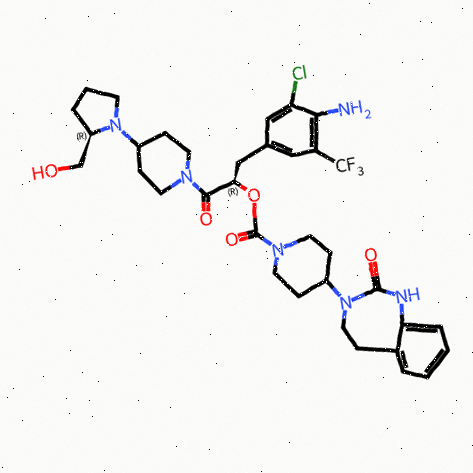 Nc1c(Cl)cc(C[C@@H](OC(=O)N2CCC(N3CCc4ccccc4NC3=O)CC2)C(=O)N2CCC(N3CCC[C@@H]3CO)CC2)cc1C(F)(F)F